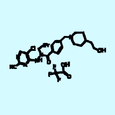 CC(C)CN(Nc1nc(C#N)ncc1Cl)C(=O)c1ccc(CN2CCC(CCO)CC2)cc1.O=C(O)C(F)(F)F